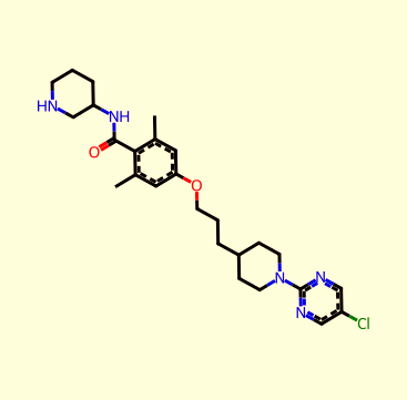 Cc1cc(OCCCC2CCN(c3ncc(Cl)cn3)CC2)cc(C)c1C(=O)NC1CCCNC1